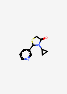 O=C1CSC(c2cccnc2)N1C1CC1